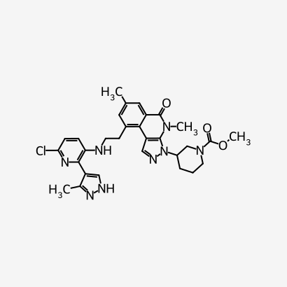 COC(=O)N1CCCC(n2ncc3c4c(CCNc5ccc(Cl)nc5-c5c[nH]nc5C)cc(C)cc4c(=O)n(C)c32)C1